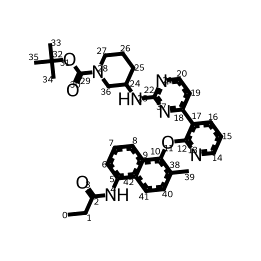 CCC(=O)Nc1cccc2c(Oc3ncccc3-c3ccnc(NC4CCCN(C(=O)OC(C)(C)C)C4)n3)c(C)ccc12